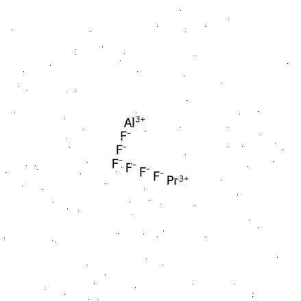 [Al+3].[F-].[F-].[F-].[F-].[F-].[F-].[Pr+3]